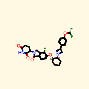 O=C1CCC(N2Cc3c(ccc(O[C@H]4CCCC[C@@H]4N4CC(c5ccc(OC(F)F)cc5)C4)c3F)C2=O)C(=O)N1